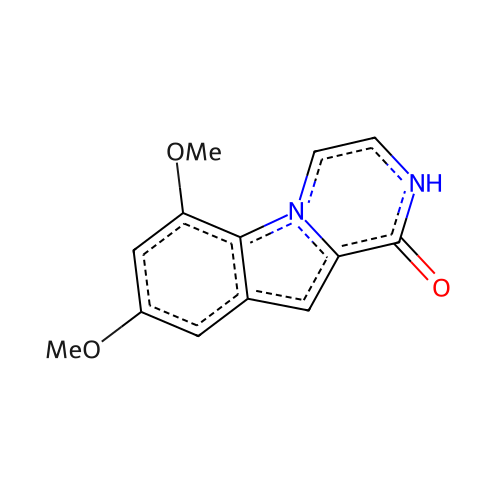 COc1cc(OC)c2c(c1)cc1c(=O)[nH]ccn12